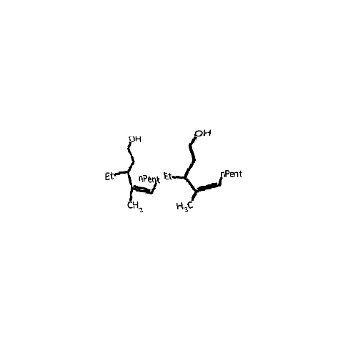 CCCCCC=C(C)C(CC)CCO.CCCCCC=C(C)C(CC)CCO